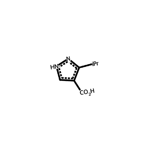 CC(C)c1n[nH]cc1C(=O)O